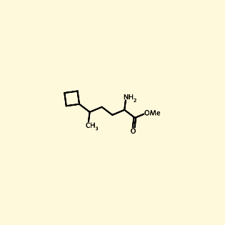 COC(=O)C(N)CCC(C)C1CCC1